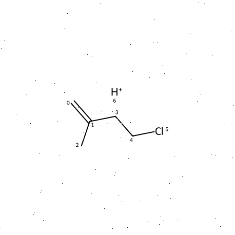 C=C(C)CCCl.[H+]